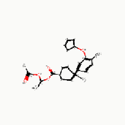 COc1ccc(C2(C#N)CCC(C(=O)OC(C)OC(=O)C(C)C)CC2)cc1OC1CCCC1